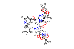 C=C[C@@](CC)(NC(=O)[C@@H]1C[C@@H](Oc2cc(C)nc(-c3ccccc3)c2)CN1C(=O)[C@@H](NC(=O)OC(C)(C)C)C(C)(C)C)C(=O)NS(=O)(=O)C1CC1